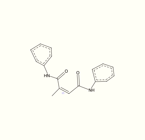 C/C(=C/C(=O)Nc1ccccc1)C(=O)Nc1ccccc1